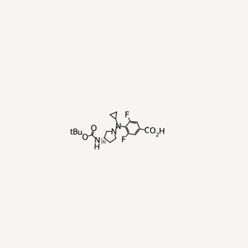 CC(C)(C)OC(=O)N[C@H]1CCN(N(c2c(F)cc(C(=O)O)cc2F)C2CC2)C1